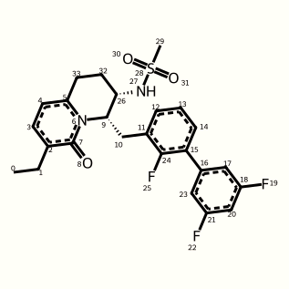 CCc1ccc2n(c1=O)[C@@H](Cc1cccc(-c3cc(F)cc(F)c3)c1F)[C@@H](NS(C)(=O)=O)CC2